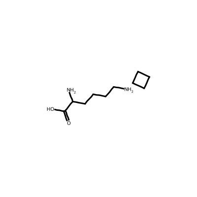 C1CCC1.NCCCCC(N)C(=O)O